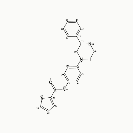 O=C(Nc1ccc(N2CC[N]C(c3ccccc3)C2)cc1)c1cccs1